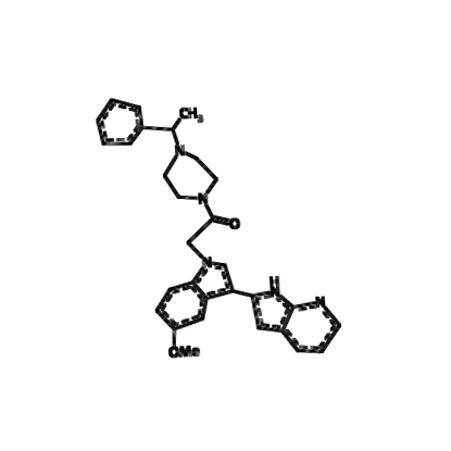 COc1ccc2c(c1)c(-c1cc3cccnc3[nH]1)cn2CC(=O)N1CCN(C(C)c2ccccc2)CC1